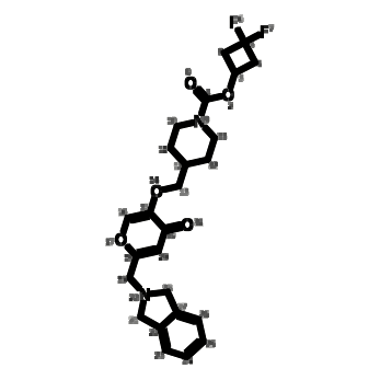 O=C(OC1CC(F)(F)C1)N1CCC(COc2coc(CN3Cc4ccccc4C3)cc2=O)CC1